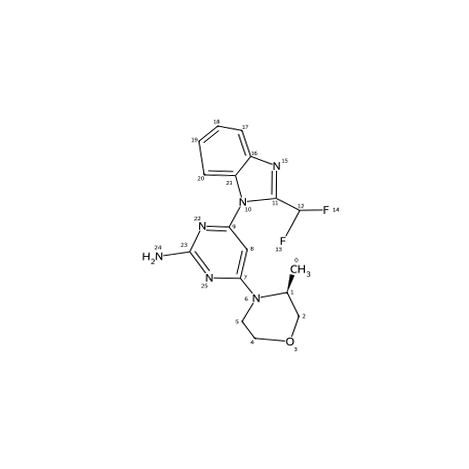 C[C@H]1COCCN1c1cc(-n2c(C(F)F)nc3ccccc32)nc(N)n1